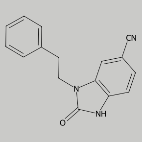 N#Cc1ccc2[nH]c(=O)n(CCc3ccccc3)c2c1